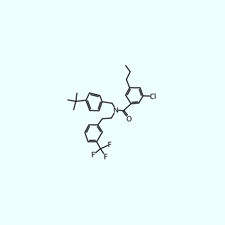 CCCc1cc(Cl)cc(C(=O)N(CCc2cccc(C(F)(F)F)c2)Cc2ccc(C(C)(C)C)cc2)c1